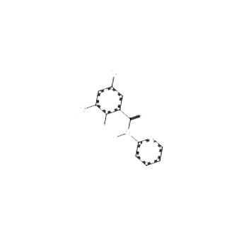 CCN(C(=O)c1cc([N+](=O)[O-])cc([N+](=O)[O-])c1C)c1ccccn1